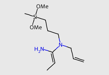 C=CCN(CCC[Si](C)(OC)OC)C(N)=CC